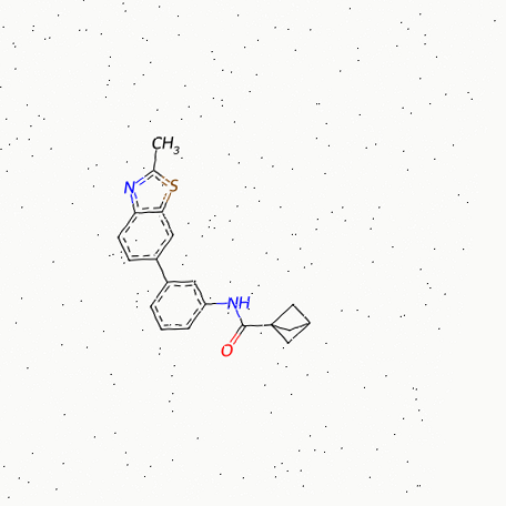 Cc1nc2ccc(-c3cccc(NC(=O)C45CC(C4)C5)c3)cc2s1